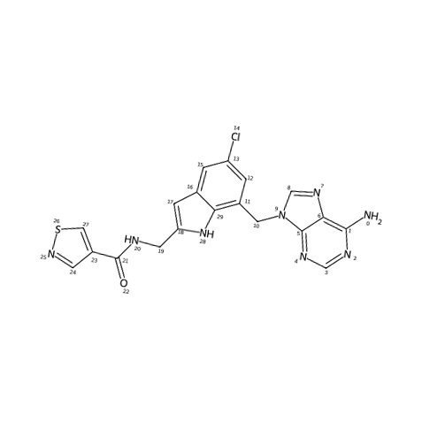 Nc1ncnc2c1ncn2Cc1cc(Cl)cc2cc(CNC(=O)c3cnsc3)[nH]c12